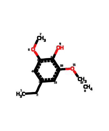 C.CCc1cc(OC)c(O)c(OC)c1